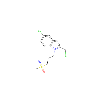 CS(=N)(=O)CCCn1c(CCl)cc2cc(Cl)ccc21